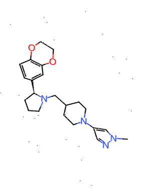 Cn1cc(N2CCC(CN3CCC[C@H]3c3ccc4c(c3)OCCO4)CC2)cn1